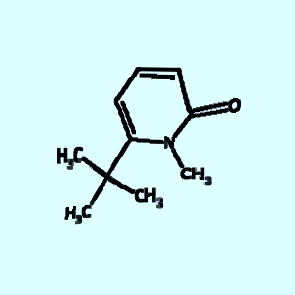 Cn1c(C(C)(C)C)cccc1=O